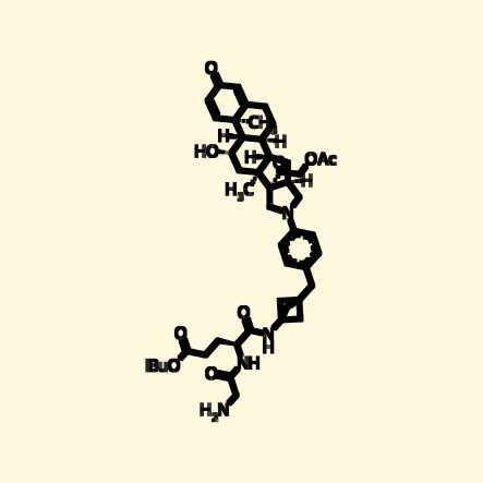 CC(=O)OCC(=O)[C@@]12CN(c3ccc(CC45CC(NC(=O)[C@H](CCC(=O)OCC(C)C)NC(=O)CN)(C4)C5)cc3)C[C@@H]1C[C@H]1[C@@H]3CCC4=CC(=O)C=C[C@]4(C)[C@H]3[C@@H](O)C[C@@]12C